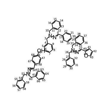 C(=NN(Cc1ccccc1)Cc1ccccc1)c1ccccc1.C(=NN(Cc1ccccc1)Cc1ccccc1)c1ccco1.Oc1ccc(C=NN(Cc2ccccc2)Cc2ccccc2)cc1